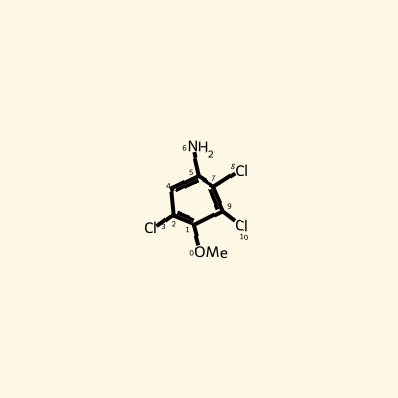 COc1c(Cl)cc(N)c(Cl)c1Cl